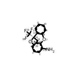 Nc1cccnc1Oc1ccccc1[C@@]1(C(F)(F)F)CCO1